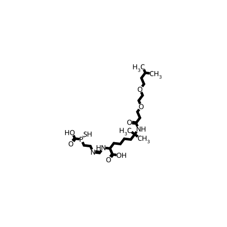 CC(C)CCOCCOCCC(=O)NC(C)(C)CCCCC(N/C=N\CCP(S)C(=O)O)C(=O)O